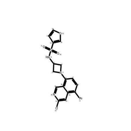 CC(C)c1ccc(N2CC(NS(=O)(=O)c3ccoc3)C2)c2cnc(Cl)cc12